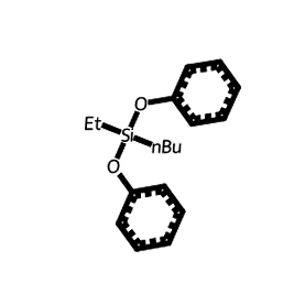 CCCC[Si](CC)(Oc1ccccc1)Oc1ccccc1